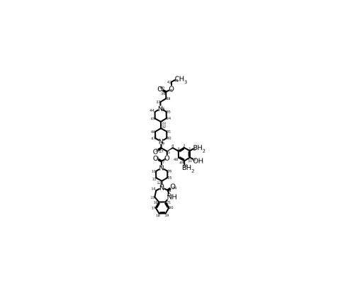 Bc1cc(C[C@@H](OC(=O)N2CCC(N3CCc4ccccc4NC3=O)CC2)C(=O)N2CCC(C3CCN(CCC(=O)OCC)CC3)CC2)cc(B)c1O